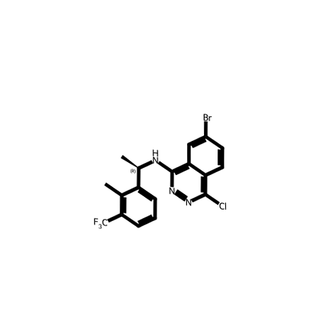 Cc1c([C@@H](C)Nc2nnc(Cl)c3ccc(Br)cc23)cccc1C(F)(F)F